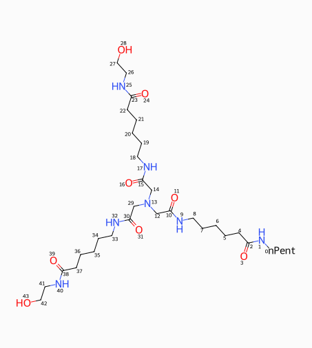 CCCCCNC(=O)CCCCCNC(=O)CN(CC(=O)NCCCCCC(=O)NCCO)CC(=O)NCCCCCC(=O)NCCO